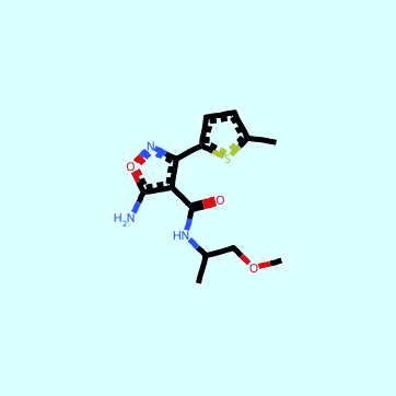 COCC(C)NC(=O)c1c(-c2ccc(C)s2)noc1N